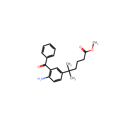 COC(=O)CCCC(C)(C)c1ccc(N)c(C(=O)c2ccccc2)c1